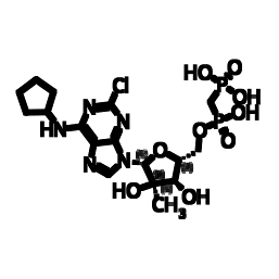 C[C@@]1(O)[C@H](O)[C@@H](COP(=O)(O)CP(=O)(O)O)O[C@H]1n1cnc2c(NC3CCCC3)nc(Cl)nc21